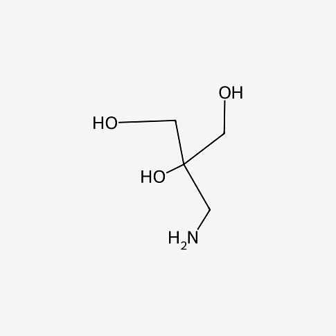 NCC(O)(CO)CO